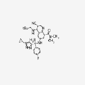 BC(Nc1cc(C(=O)N(C)C)c2ncc(C#N)c(NCC(C)(C)C)c2c1)(c1ccc(F)cc1)c1cn(C2CC2)nn1